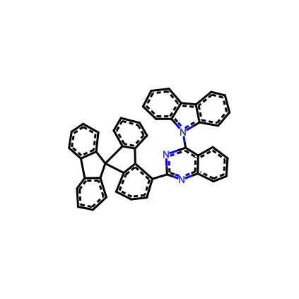 c1ccc2c(c1)-c1ccccc1C21c2ccccc2-c2c(-c3nc(-n4c5ccccc5c5ccccc54)c4ccccc4n3)cccc21